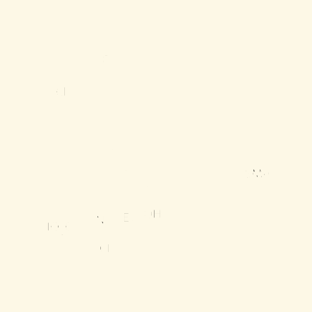 CC[N+](C)(CC(c1ccc(Cl)c(Cl)c1)C(O)c1cccc(SC)c1)C(=O)O